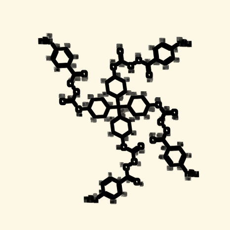 CCCCc1ccc(C(=O)OOC(=O)OC2CCC(C(C3CCC(OC(=O)OOC(=O)c4ccc(CCCC)cc4)CC3)(C3CCC(OC(=O)OOC(=O)c4ccc(CCCC)cc4)CC3)C3CCC(OC(=O)OOC(=O)c4ccc(CCCC)cc4)CC3)CC2)cc1